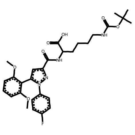 COc1cccc(OC)c1-c1cc(C(=O)NC(CCCCNC(=O)OC(C)(C)C)C(=O)O)nn1-c1ccc(F)cc1